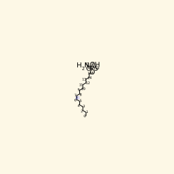 CCCCCC/C=C\CCCCCCCCOP(O)(=S)ON